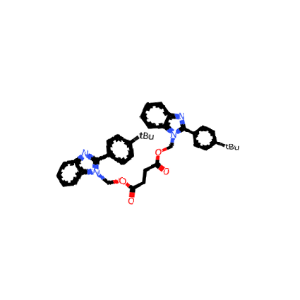 CC(C)(C)c1ccc(-c2nc3ccccc3n2COC(=O)CCC(=O)OCn2c(-c3ccc(C(C)(C)C)cc3)nc3ccccc32)cc1